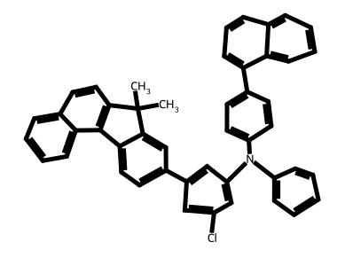 CC1(C)c2cc(-c3cc(Cl)cc(N(c4ccccc4)c4ccc(-c5cccc6ccccc56)cc4)c3)ccc2-c2c1ccc1ccccc21